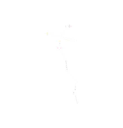 CCSCCOP(O)(=S)S